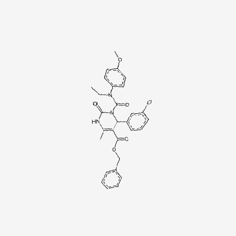 CCN(C(=O)N1C(=O)NC(C)=C(C(=O)OCc2ccccc2)C1c1cccc(Cl)c1)c1ccc(OC)cc1